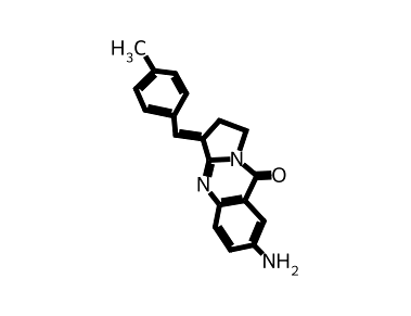 Cc1ccc(C=C2CCn3c2nc2ccc(N)cc2c3=O)cc1